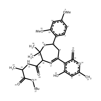 COc1ccc(C2CC(c3c(O)cc(C)oc3=O)=NC(C(=O)NC(C)C(=O)OC(C)(C)C)C(C)(C)S2)c(OC)c1